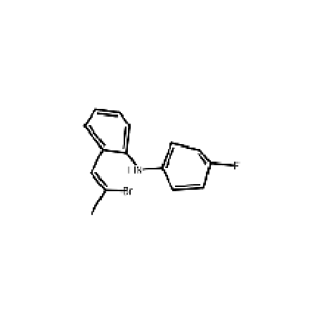 C/C(Br)=C/c1ccccc1Nc1ccc(F)cc1